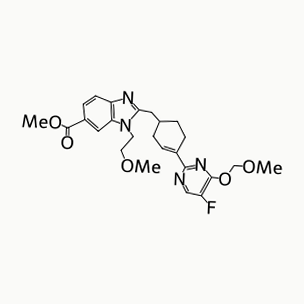 COCCn1c(CC2CC=C(c3ncc(F)c(OCOC)n3)CC2)nc2ccc(C(=O)OC)cc21